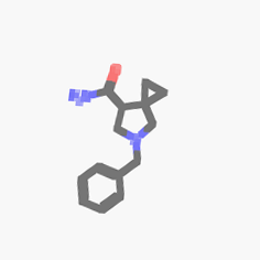 NC(=O)C1CN(Cc2ccccc2)CC12CC2